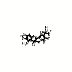 CCc1c2c(nc3cc4c(c(N)c13)OCO4)-c1cc3c(c(=O)n1C2)COC(=O)[C@]3(O)CC